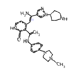 C=C(Nc1ccc(N2CCN(C)CC2)cc1)c1c(/C=C(\N)c2cnn(C3CCNCC3)c2)cc[nH]c1=O